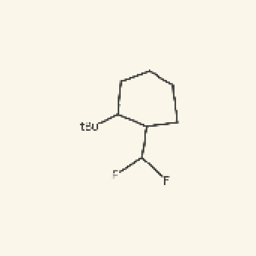 CC(C)(C)C1CCCCC1C(F)F